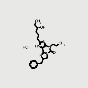 CCCN1C(=O)N2CC(Cc3ccccc3)N=C2c2[nH]c(CCC[C@H](O)CC)nc21.Cl